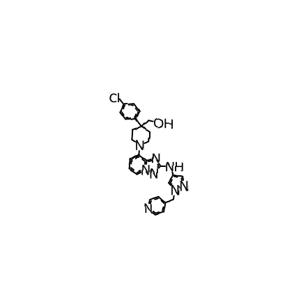 OCC1(c2ccc(Cl)cc2)CCN(c2cccn3nc(Nc4cnn(Cc5ccncc5)c4)nc23)CC1